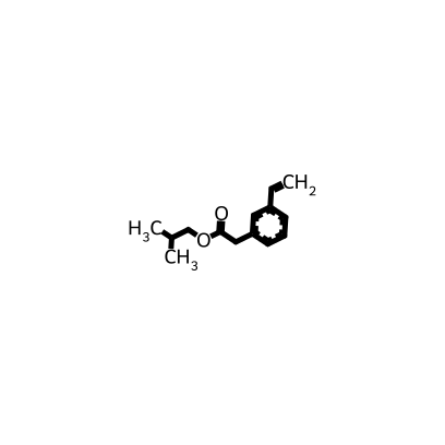 C=Cc1cccc(CC(=O)OCC(C)C)c1